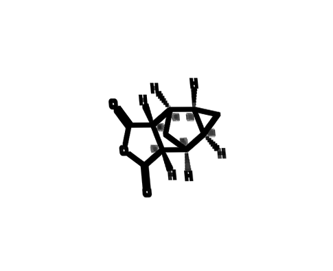 O=C1OC(=O)[C@H]2[C@H]3C[C@H]([C@H]4C[C@H]43)[C@@H]12